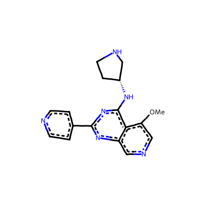 COc1cncc2nc(-c3ccncc3)nc(N[C@@H]3CCNC3)c12